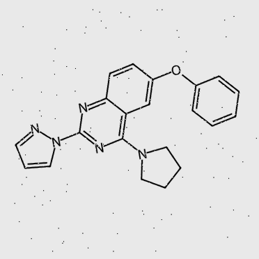 c1ccc(Oc2ccc3nc(-n4cccn4)nc(N4CCCC4)c3c2)cc1